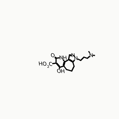 CN(C)CCCn1ncc2c1CCCc1c-2[nH]c(=O)c(C(=O)O)c1O